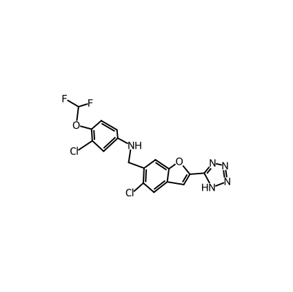 FC(F)Oc1ccc(NCc2cc3oc(-c4nnn[nH]4)cc3cc2Cl)cc1Cl